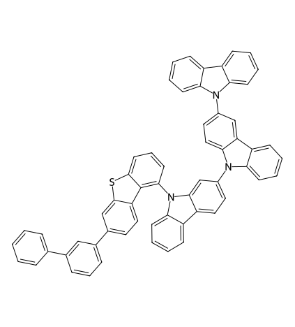 c1ccc(-c2cccc(-c3ccc4c(c3)sc3cccc(-n5c6ccccc6c6ccc(-n7c8ccccc8c8cc(-n9c%10ccccc%10c%10ccccc%109)ccc87)cc65)c34)c2)cc1